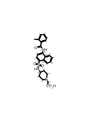 Cc1ccccc1C(=O)Nc1ccc(S(=O)(=O)NC2CCN(CC(=O)O)CC2)c2ccccc12